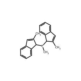 CC1=Cc2ccccc2C1P(C)C1C(C)=Cc2ccccc21